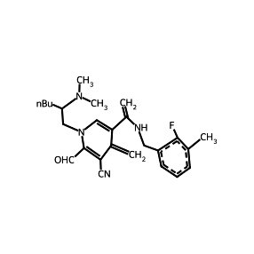 C=C(NCc1cccc(C)c1F)C1=CN(CC(CCCC)N(C)C)C(C=O)=C(C#N)C1=C